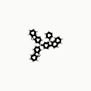 c1ccc(-n2c3cc(N(c4ccc5c(c4)oc4ccccc45)c4ccc5c(c4)oc4ccccc45)ccc3c3ccc4ccccc4c32)cc1